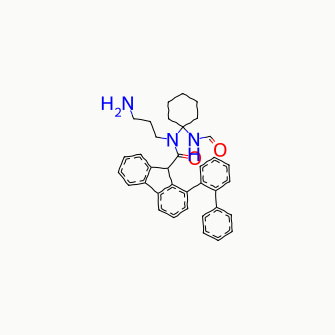 NCCCN(C(=O)C1c2ccccc2-c2cccc(-c3ccccc3-c3ccccc3)c21)C1(NC=O)CCCCC1